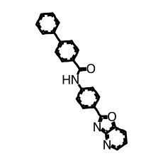 O=C(Nc1ccc(-c2nc3ncccc3o2)cc1)c1ccc(-c2ccccc2)cc1